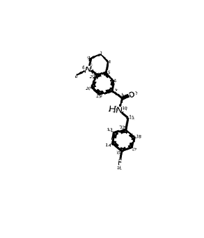 CN1CCCc2cc(C(=O)NCc3ccc(F)cc3)ccc21